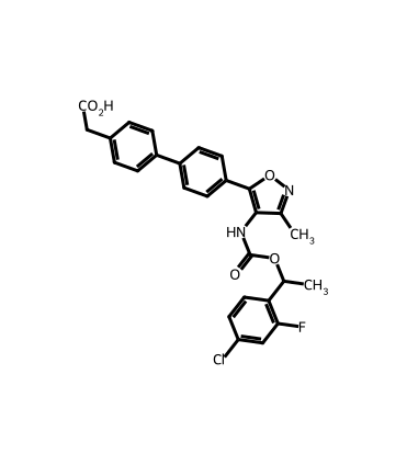 Cc1noc(-c2ccc(-c3ccc(CC(=O)O)cc3)cc2)c1NC(=O)OC(C)c1ccc(Cl)cc1F